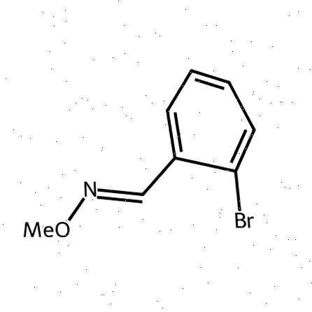 CO/N=C/c1ccccc1Br